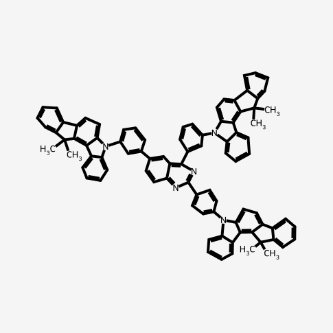 CC1(C)c2ccccc2-c2ccc3c(c21)c1ccccc1n3-c1ccc(-c2nc(-c3cccc(-n4c5ccccc5c5c6c(ccc54)-c4ccccc4C6(C)C)c3)c3cc(-c4cccc(-n5c6ccccc6c6c7c(ccc65)-c5ccccc5C7(C)C)c4)ccc3n2)cc1